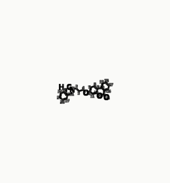 CN(CCCOc1ccc2c(c1)oc(=O)c1ccccc12)Cc1ccccc1